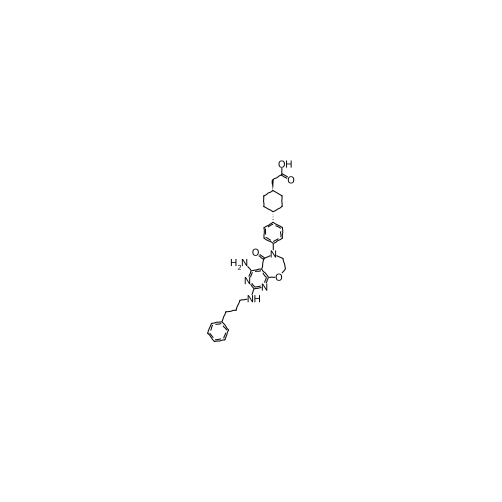 Nc1nc(NCCCc2ccccc2)nc2c1C(=O)N(c1ccc([C@H]3CC[C@H](CC(=O)O)CC3)cc1)CCO2